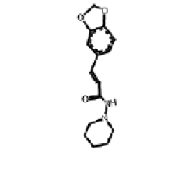 O=C(/C=C/c1ccc2c(c1)OCO2)NN1CCCCC1